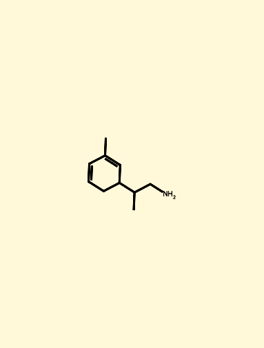 CC1=CC(C(C)CN)CC=C1